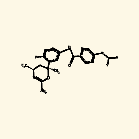 C[C@@]1(c2cc(NC(=O)c3ccc(OC(F)F)cn3)ccc2F)C[C@@H](C(F)(F)F)N=C(N)O1